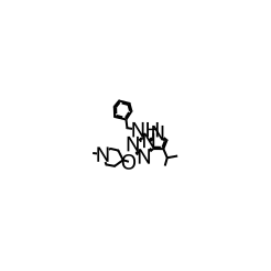 CC(C)c1cnn2c(NCc3ccccc3)nc(OC3CCN(C)CC3)nc12